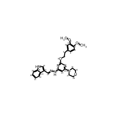 COc1ccc(CCOc2nc(N/N=C/c3c[nH]c4ccccc34)cc(N3CCOCC3)n2)cc1OC